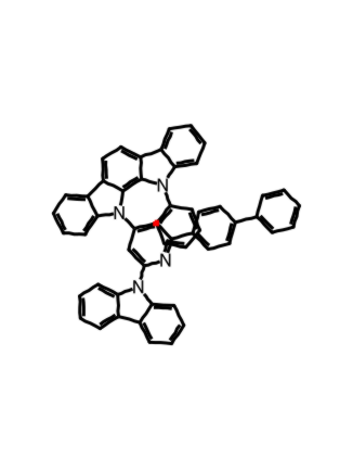 c1ccc(-c2ccc(-c3cc(-n4c5ccccc5c5ccc6c7ccccc7n(-c7ccccc7)c6c54)cc(-n4c5ccccc5c5ccccc54)n3)cc2)cc1